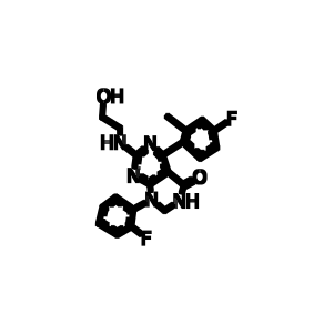 Cc1cc(F)ccc1-c1nc(NCCO)nc2c1C(=O)NCN2c1ccccc1F